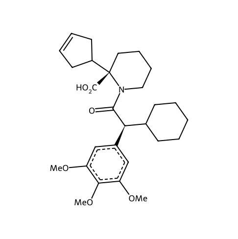 COc1cc([C@@H](C(=O)N2CCCC[C@@]2(C(=O)O)C2CC=CC2)C2CCCCC2)cc(OC)c1OC